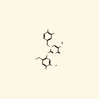 CCc1cc(F)c(OC)cc1Nc1nc(=O)c(OC)cn1Cc1ccc(F)c(Cl)c1